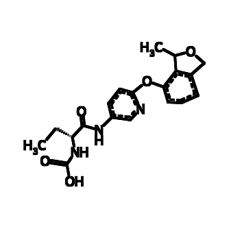 CC[C@@H](NC(=O)O)C(=O)Nc1ccc(Oc2cccc3c2C(C)OC3)nc1